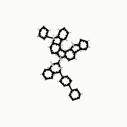 c1ccc(-c2ccc(-c3nc(-n4c5ccc6c7ccccc7oc6c5c5c6c7ccccc7n(-c7ccccc7)c6ccc54)nc4ccccc34)cc2)cc1